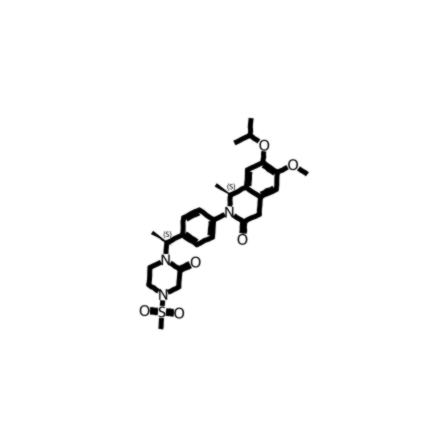 COc1cc2c(cc1OC(C)C)[C@H](C)N(c1ccc([C@H](C)N3CCN(S(C)(=O)=O)CC3=O)cc1)C(=O)C2